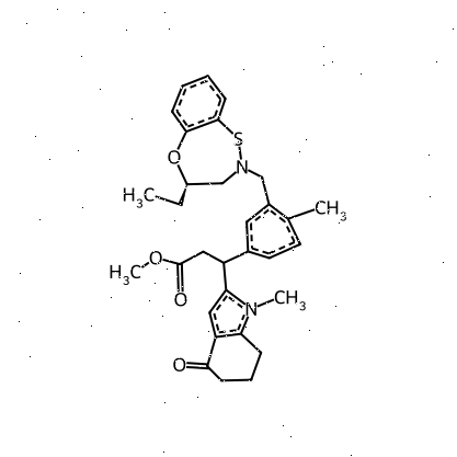 CC[C@@H]1CN(Cc2cc(C(CC(=O)OC)c3cc4c(n3C)CCCC4=O)ccc2C)Sc2ccccc2O1